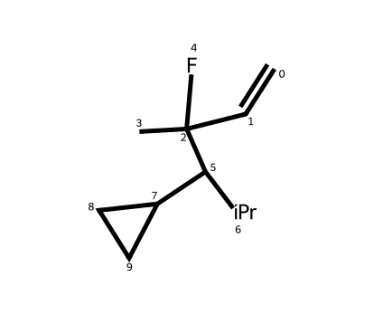 C=CC(C)(F)C(C(C)C)C1CC1